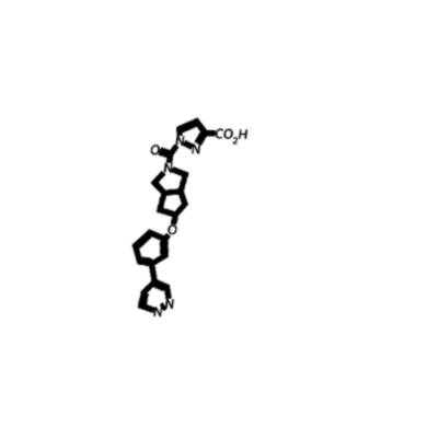 O=C(O)c1ccn(C(=O)N2CC3CC(Oc4cccc(-c5ccnnc5)c4)CC3C2)n1